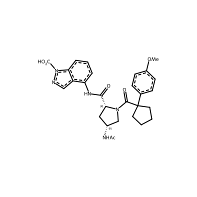 COc1ccc(C2(C(=O)N3C[C@H](NC(C)=O)C[C@@H]3C(=O)Nc3cccc4c3cnn4C(=O)O)CCCC2)cc1